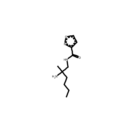 CCCCC(C)(N)CNC(=O)c1ccon1